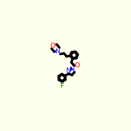 O=C(Cc1ccc[c]c1CCCN1CCOCC1)N1CCC(c2cccc(F)c2)=N1